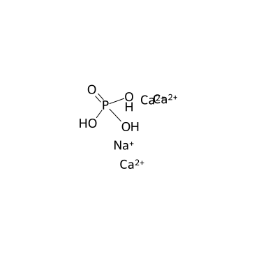 O=P(O)(O)O.[Ca+2].[Ca+2].[Ca+2].[Na+]